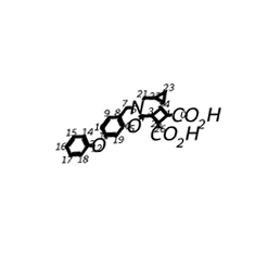 O=C(O)C1CC(C(=O)N(Cc2ccc(Oc3ccccc3)cc2)CC2CC2)C1C(=O)O